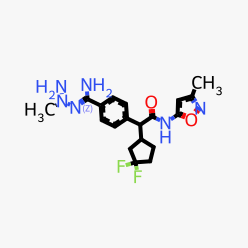 Cc1cc(NC(=O)C(c2ccc(/C(N)=N/N(C)N)cc2)C2CCC(F)(F)C2)on1